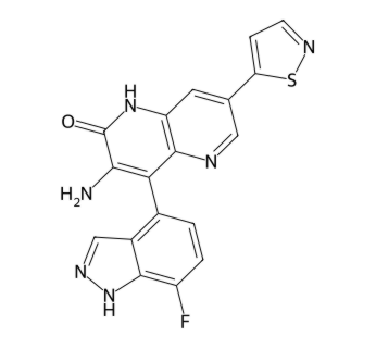 Nc1c(-c2ccc(F)c3[nH]ncc23)c2ncc(-c3ccns3)cc2[nH]c1=O